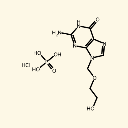 Cl.Nc1nc2c(ncn2COCCO)c(=O)[nH]1.O=P(O)(O)O